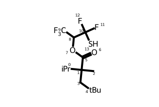 CC(C)C(C)(CC(C)(C)C)C(=O)OC(C(F)(F)F)C(F)(F)S